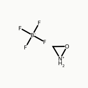 C1[NH2+]O1.F[B-](F)(F)F